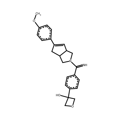 COc1ccc(C2=CC3CN(C(=N)c4ccc(C5(O)COC5)cc4)CC3C2)cc1